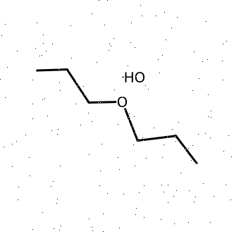 CCCOCCC.[OH]